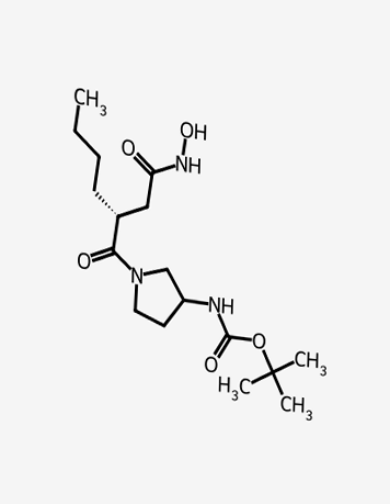 CCCC[C@H](CC(=O)NO)C(=O)N1CCC(NC(=O)OC(C)(C)C)C1